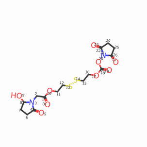 O=C(CN1C(=O)CCC1O)OCCSSCCOC(=O)ON1C(=O)CCC1=O